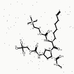 C=CCCCCC[C@H](NC(=O)OCC[Si](C)(C)C)C(=O)N1C[C@H](NC(=O)OCC(Cl)(Cl)Cl)C[C@H]1C(=O)OC